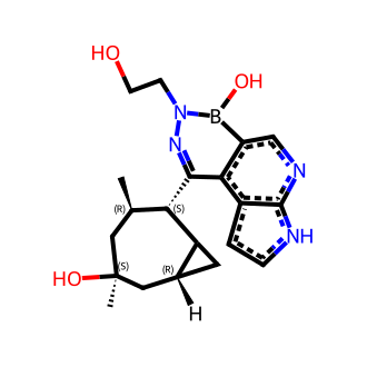 C[C@@H]1C[C@](C)(O)C[C@H]2CC2[C@H]1C1=NN(CCO)B(O)c2cnc3[nH]ccc3c21